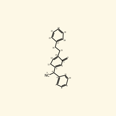 C=C1C=C(C(C#N)c2ccccc2)CC=C1CCc1ccccc1